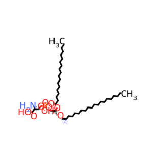 CCCCCCCCCCCCCCCCCC/C=C\OC[C@H](COP(=O)(O)OC[C@H](N)C(=O)O)OC(=O)CCCCCCCCCCCCCCCCCC